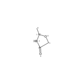 CN1BC(=O)CO1